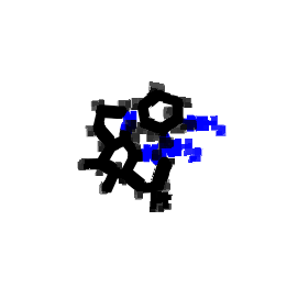 Cc1c(C)c2cccnc2c2ncccc12.N[C@H]1CCCC[C@@H]1N.[Pt]